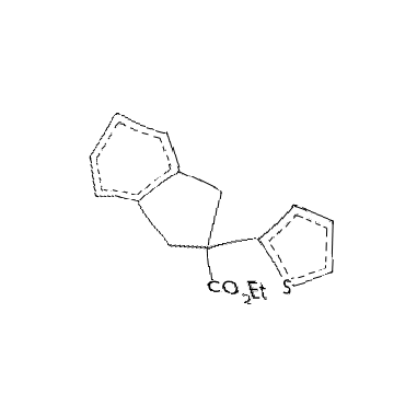 CCOC(=O)C1(c2cccs2)Cc2ccccc2C1